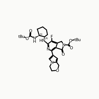 CC(C)(C)OC(=O)N[C@H]1CCCC[C@H]1Nc1nc(-c2cc3n(c2)CCOC3)c2c(c1F)CN(C(=O)OC(C)(C)C)C2=O